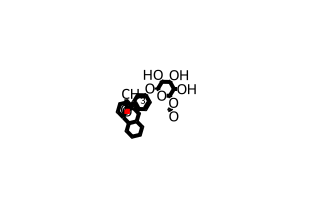 CC1(c2cccc(O[C@@H]3OC(OC=O)C(O)C(O)C3O)c2)OOC12C1CCCC2C2CCCCC2C1